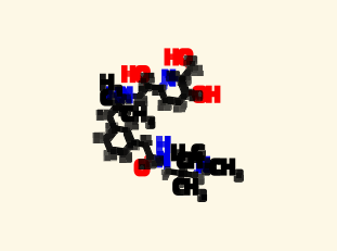 CN(C)CC(C)(C)CNC(=O)Cc1cccc(CC(C)(C)NCC(O)c2ccc(O)c(CO)n2)c1